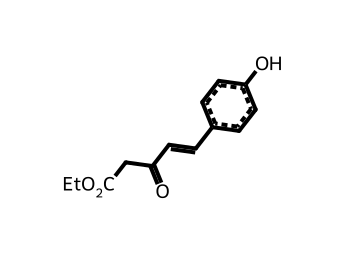 CCOC(=O)CC(=O)C=Cc1ccc(O)cc1